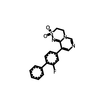 O=S1(=O)CCN2C=NC=C(c3ccc(-c4ccccc4)c(F)c3)C2=N1